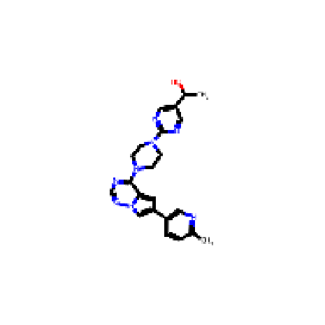 Cc1ccc(-c2cc3c(N4CCN(c5ncc(C(C)O)cn5)CC4)ncnn3c2)cn1